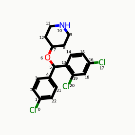 Clc1ccc(C(OC2CCNCC2)c2ccc(Cl)cc2Cl)cc1